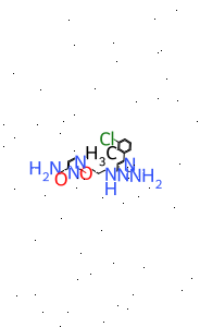 Cc1c(Cl)cccc1-c1cc(NCCCOc2nccc(C(N)=O)n2)nc(N)n1